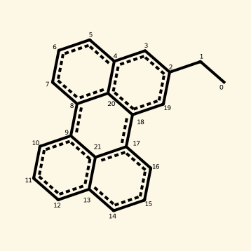 CCc1cc2cccc3c4cccc5cccc(c(c1)c23)c54